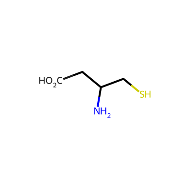 NC(CS)CC(=O)O